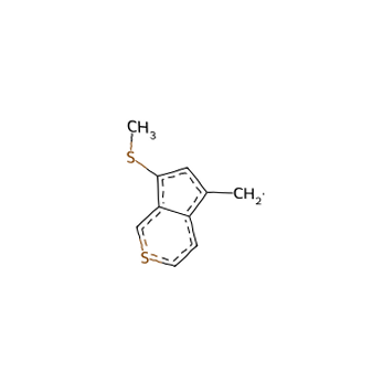 [CH2]c1cc(SC)c2csccc1-2